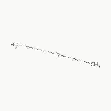 CCCCCCCCCCCCCCCCCCCCCCCCCCC[CH]SCCCCCCCCCCCCCCCCCCCCCCCC